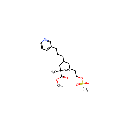 COC(=O)C(C)(C)CC(CCCCOS(C)(=O)=O)CCCc1cccnc1